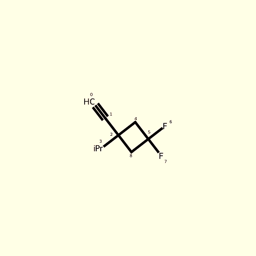 C#CC1(C(C)C)CC(F)(F)C1